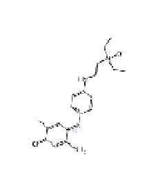 CC[N+]([O-])(CC)CCNc1ccc(/N=C2\C=C(C)C(=O)C=C2N)cc1